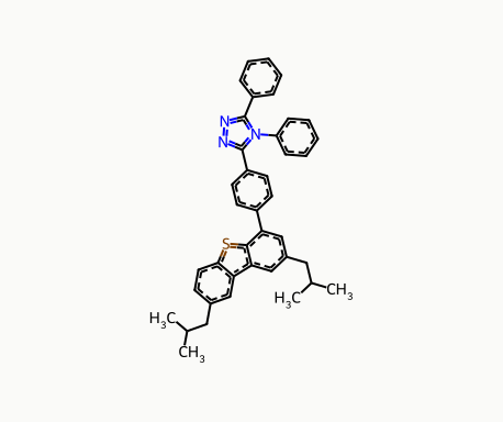 CC(C)Cc1ccc2sc3c(-c4ccc(-c5nnc(-c6ccccc6)n5-c5ccccc5)cc4)cc(CC(C)C)cc3c2c1